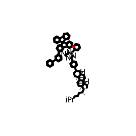 CC(C)CCC[C@@H](C)[C@H]1CC[C@H]2[C@@H]3CC[C@H]4CC(c5ccc(-c6nc(-c7ccccc7)nc(-n7c8ccc(-c9ccccc9)cc8c8ccc9c(c87)-c7ccccc7C97c8ccccc8-c8ccccc87)n6)cc5)CC[C@]4(C)[C@H]3CC[C@]12C